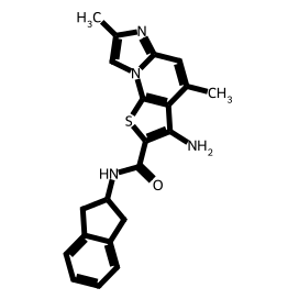 Cc1cn2c(cc(C)c3c(N)c(C(=O)NC4Cc5ccccc5C4)sc32)n1